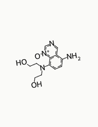 Nc1ccc(N(CCO)CCO)c2c1cnc[n+]2[O-]